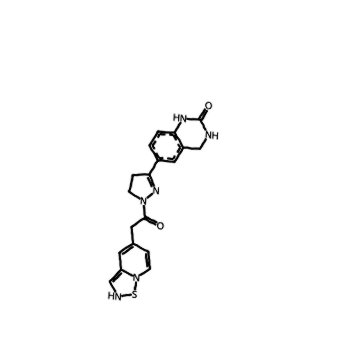 O=C1NCc2cc(C3=NN(C(=O)CC4=CC5=CNSN5C=C4)CC3)ccc2N1